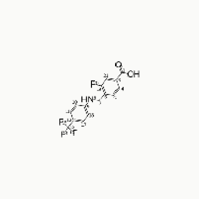 O=C(O)c1ccc(CNc2ccc(C(F)(F)F)cc2)c(F)c1